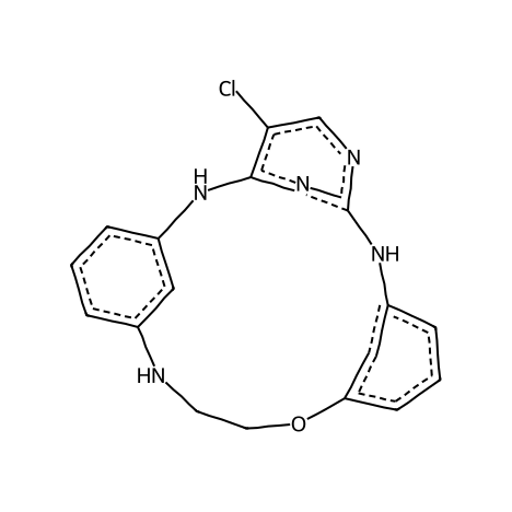 Clc1cnc2nc1Nc1cccc(c1)NCCOc1cccc(c1)N2